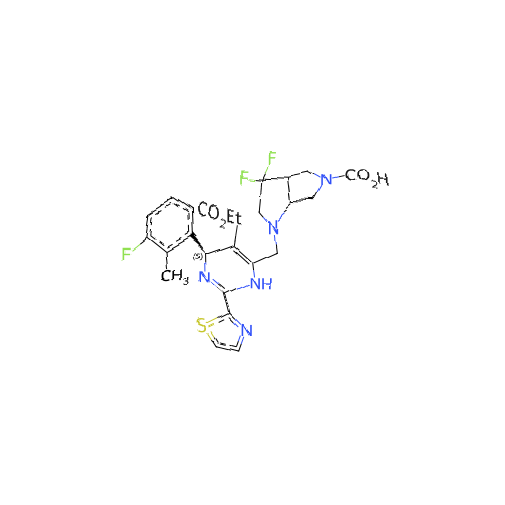 CCOC(=O)C1=C(CN2CC(F)(F)C3CN(C(=O)O)CC32)NC(c2nccs2)=N[C@H]1c1cccc(F)c1C